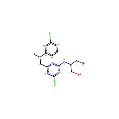 CC(C)CC(CO)Nc1nc(Cl)nc(CC(C)c2cccc(Cl)c2)n1